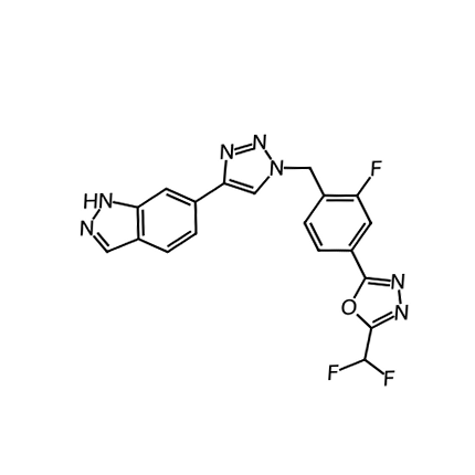 Fc1cc(-c2nnc(C(F)F)o2)ccc1Cn1cc(-c2ccc3cn[nH]c3c2)nn1